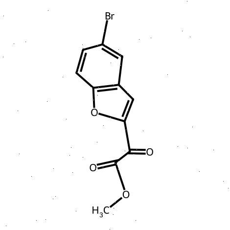 COC(=O)C(=O)c1cc2cc(Br)ccc2o1